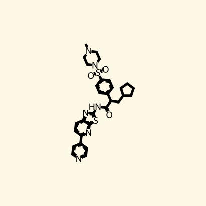 CN1CCN(S(=O)(=O)c2ccc(C(CC3CCCC3)C(=O)Nc3nc4ccc(-c5ccncc5)nc4s3)cc2)CC1